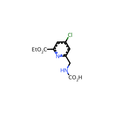 CCOC(=O)c1cc(Cl)cc(CNC(=O)O)n1